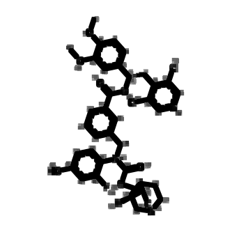 COc1ccc([C@H](Cc2c(Cl)cncc2Cl)OC(=O)c2cccc(CN(C(=O)O[C@H]3CN4CCC3CC4)c3ccc(O)cc3F)c2)cc1OC